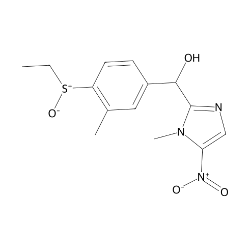 CC[S+]([O-])c1ccc(C(O)c2ncc([N+](=O)[O-])n2C)cc1C